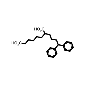 O=C(O)CCCCCC(CCCC(c1ccccc1)c1ccccc1)C(=O)O